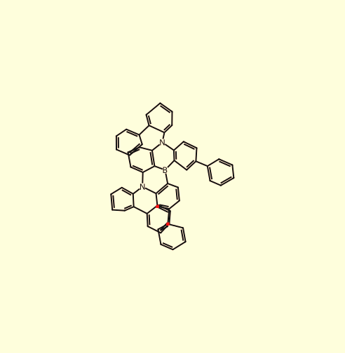 c1ccc(-c2ccc3c(c2)B2c4ccc(-c5ccccc5)cc4N(c4ccccc4-c4ccccc4)c4cccc(c42)N3c2ccccc2-c2ccccc2)cc1